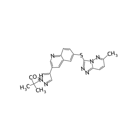 Cc1ccc2nnc(Sc3ccc4ncc(-c5cnn(C(C)(C)C(=O)O)c5)cc4c3)n2n1